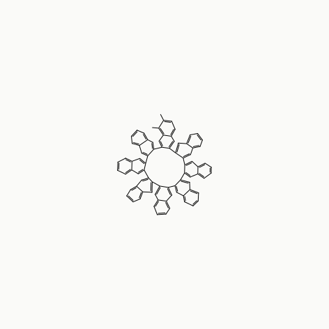 Cc1ccc2cc3c(cc2c1C)-c1cc2ccccc2cc1-c1cc2ccccc2cc1-c1cc2ccccc2cc1-c1cc2ccccc2cc1-c1cc2ccccc2cc1-c1cc2ccccc2cc1-c1cc2ccccc2cc1-3